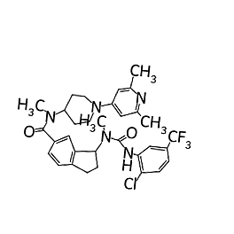 Cc1cc(N2CCC(N(C)C(=O)c3ccc4c(c3)C(N(C)C(=O)Nc3cc(C(F)(F)F)ccc3Cl)CC4)CC2)cc(C)n1